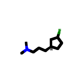 CN(C)CCC[C@@H]1CCC(F)C1